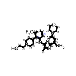 C=C(/C(=C(\C=C/C)Nc1c(C)nc2c(N)cc(N3CCOCC3)nn12)C1CCN(CCO)CC1)C(F)(F)F